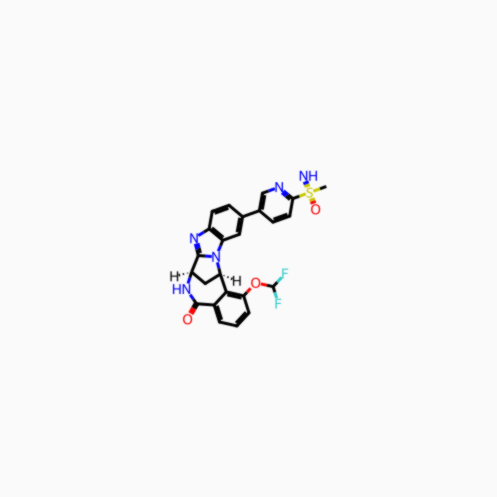 CS(=N)(=O)c1ccc(-c2ccc3nc4n(c3c2)[C@@H]2C[C@H]4NC(=O)c3cccc(OC(F)F)c32)cn1